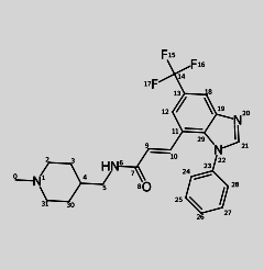 CN1CCC(CNC(=O)/C=C/c2cc(C(F)(F)F)cc3ncn(-c4ccccc4)c23)CC1